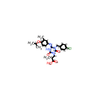 Cc1cc(/N=c2\[nH]c(=O)n(C[C@@H](C)C(=O)O)c(=O)n2Cc2ccc(Cl)cc2)ccc1OC(C)C